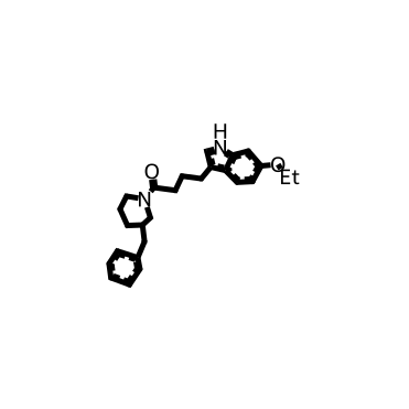 CCOc1ccc2c(CCCC(=O)N3CCCC(Cc4ccccc4)C3)c[nH]c2c1